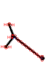 O=C(CCOCCOCCOCCOCCOCCOCCOCCOCCOCCOCCOCCOCCNC(=O)C(CCCCCCCCCCCCCCP(=O)(O)O)(CCCCCCCCCCCCCCP(=O)(O)O)C(=O)O)ON1C(=O)CCC1=O